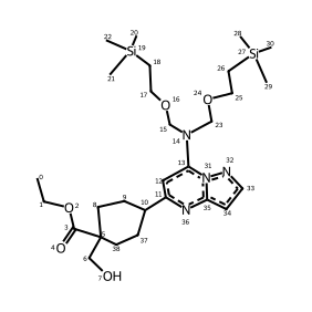 CCOC(=O)C1(CO)CCC(c2cc(N(COCC[Si](C)(C)C)COCC[Si](C)(C)C)n3nccc3n2)CC1